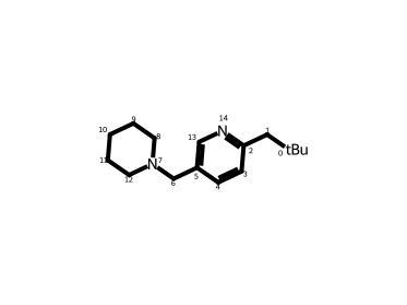 CC(C)(C)Cc1ccc(CN2CCCCC2)cn1